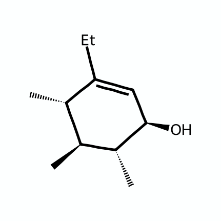 CCC1=C[C@@H](O)[C@H](C)[C@@H](C)[C@@H]1C